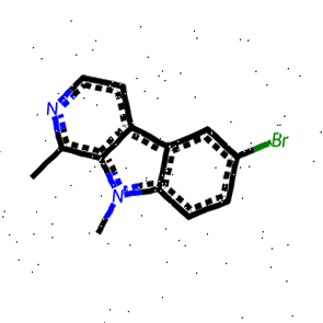 Cc1nccc2c3cc(Br)ccc3n(C)c12